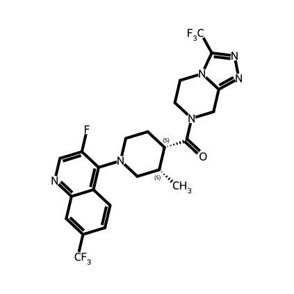 C[C@@H]1CN(c2c(F)cnc3cc(C(F)(F)F)ccc23)CC[C@@H]1C(=O)N1CCn2c(nnc2C(F)(F)F)C1